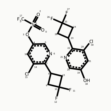 O=S(=O)(Oc1cnc(C2CC(F)(F)C2)c(Cl)c1)C(F)(F)F.Oc1cnc(C2CC(F)(F)C2)c(Cl)c1